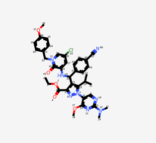 CCOC(=O)c1nn(-c2cnc(N(C)C)nc2OC)c(C(C)C)c1C(Nc1cc(Cl)cn(Cc2ccc(OC)cc2)c1=O)c1ccc(C#N)cc1